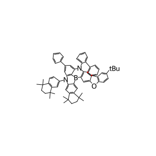 CC(C)(C)c1ccc2oc3cc4c(cc3c2c1)N(c1ccccc1-c1ccccc1)c1cc(-c2ccccc2)cc2c1B4c1cc3c(cc1N2c1ccc2c(c1)C(C)(C)CCC2(C)C)C(C)(C)CCC3(C)C